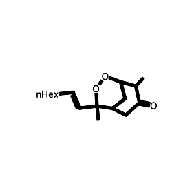 CCCCCCC=CC1(C)OOC2CC1CC(=O)C2C